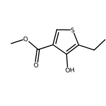 CCc1scc(C(=O)OC)c1O